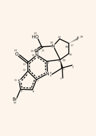 CC(C)(C)[C@]1(c2nc3cc(Br)sc3c(=O)[nH]2)C[C@@H](F)CN1C(=O)O